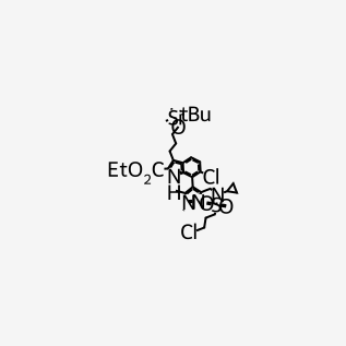 CCOC(=O)c1[nH]c2c(-c3c(CN(C4CC4)S(=O)(=O)CCCCl)nn(C)c3C)c(Cl)ccc2c1CCCO[Si](C)(C)C(C)(C)C